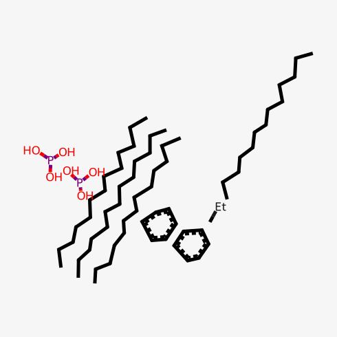 CCC.CCCCCCCCCCCCC.CCCCCCCCCCCCC.CCCCCCCCCCCCC.CCCCCCCCCCCCC.OP(O)O.OP(O)O.c1ccccc1.c1ccccc1